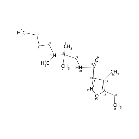 CCCCN(C)C(C)(C)CNC(=O)c1noc(CC)c1C